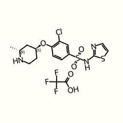 C[C@@H]1C[C@@H](Oc2ccc(S(=O)(=O)Nc3nccs3)cc2Cl)CCN1.O=C(O)C(F)(F)F